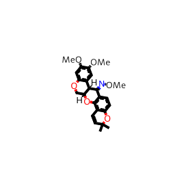 CON=C1c2ccc3c(c2O[C@@H]2COc4cc(OC)c(OC)cc4[C@@H]12)C=CC(C)(C)O3